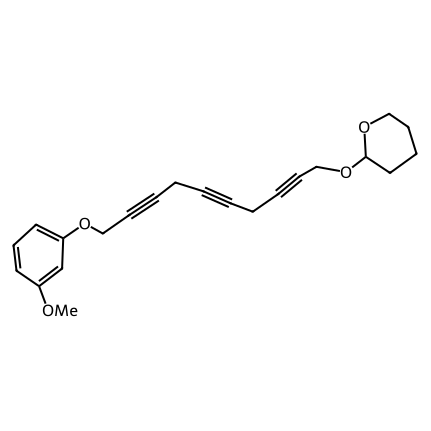 COc1cccc(OCC#CCC#CCC#CCOC2CCCCO2)c1